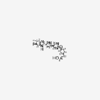 Cc1cc2nc(-c3ccc(-c4cnc(OC5CCC(CC(=O)O)CC5)nc4)nc3)[nH]c2cc1F